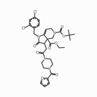 CCOC(=O)C12CN(C(=O)OC(C)(C)C)CC=C1N(Cc1ccc(Cl)cc1Cl)C(=O)C2CC(=O)N1CCN(C(=O)c2ccco2)CC1